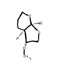 CO[C@H]1CO[C@@H]2OCC[CH][C@@H]21